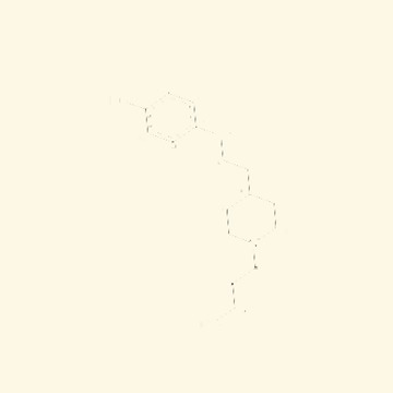 CCc1ccc(OCCC2CCN(CCCC(C)C)CC2)cc1